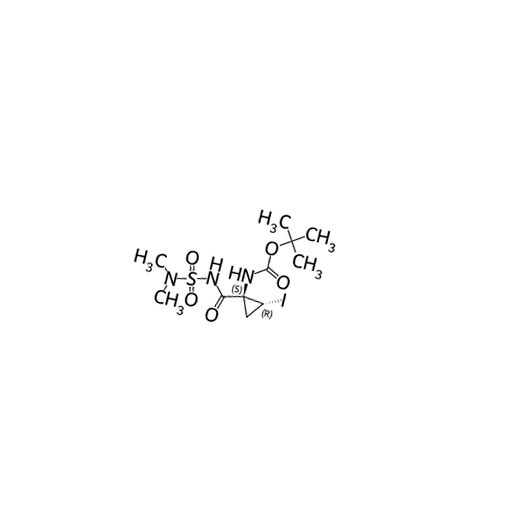 CN(C)S(=O)(=O)NC(=O)[C@@]1(NC(=O)OC(C)(C)C)C[C@H]1I